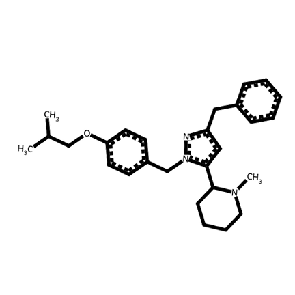 CC(C)COc1ccc(Cn2nc(Cc3ccccc3)cc2C2CCCCN2C)cc1